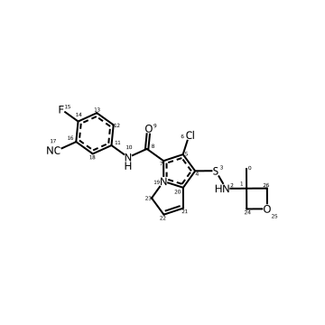 CC1(NSc2c(Cl)c(C(=O)Nc3ccc(F)c(C#N)c3)n3c2C=CC3)COC1